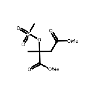 COC(=O)CC(C)(OS(C)(=O)=O)C(=O)OC